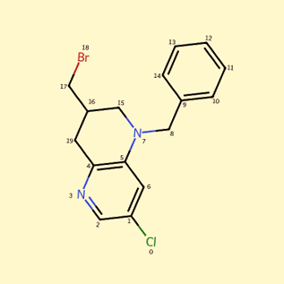 Clc1cnc2c(c1)N(Cc1ccccc1)CC(CBr)C2